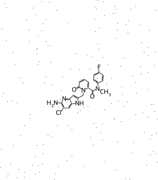 CN(C(=O)c1cccc(=O)n1Cc1cc2nc(N)c(Cl)cc2[nH]1)c1ccc(F)cc1